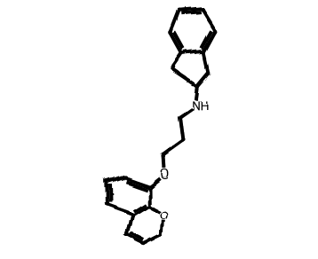 C1=Cc2cccc(OCCCNC3Cc4ccccc4C3)c2OC1